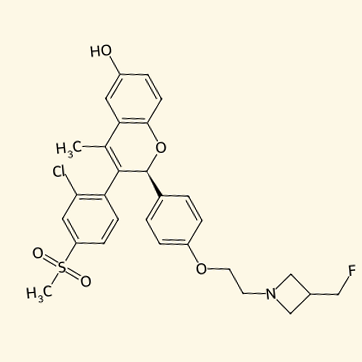 CC1=C(c2ccc(S(C)(=O)=O)cc2Cl)[C@H](c2ccc(OCCN3CC(CF)C3)cc2)Oc2ccc(O)cc21